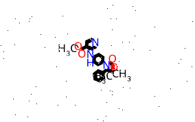 COC(=O)c1ccncc1NC1CCC(N2C(=O)OC(C)(C)C2c2ccccc2)CC1